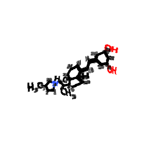 C[C@@H]1CCN(C[C@@H](C)[C@H]2CC[C@H]3/C(=C/C=C4C[C@@H](O)C[C@H](O)C4)CCC[C@]23C)C1